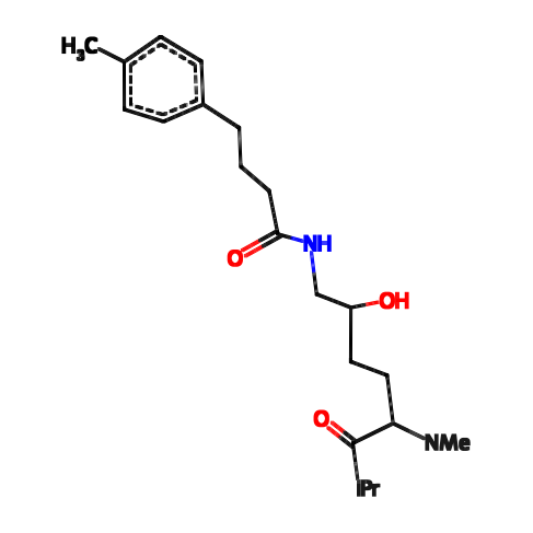 CNC(CCC(O)CNC(=O)CCCc1ccc(C)cc1)C(=O)C(C)C